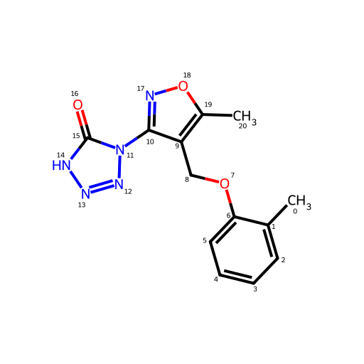 Cc1ccccc1OCc1c(-n2nn[nH]c2=O)noc1C